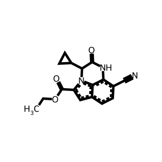 CCOC(=O)c1cc2ccc(C#N)c3c2n1C(C1CC1)C(=O)N3